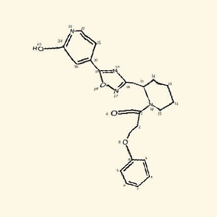 O=C(COc1ccccc1)N1CCCCC1c1noc(-c2ccnc(O)c2)n1